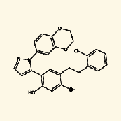 Oc1cc(O)c(-c2ccnn2-c2ccc3c(c2)OCCO3)cc1CCc1ccccc1Cl